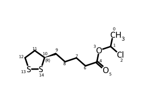 CC(Cl)OC(=O)CCCC[C@@H]1CCSS1